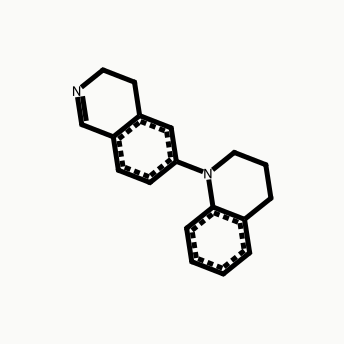 C1=NCCc2cc(N3CCCc4ccccc43)ccc21